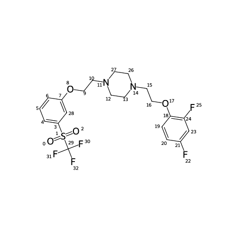 O=S(=O)(c1cccc(OCCN2CCN(CCOc3ccc(F)cc3F)CC2)c1)C(F)(F)F